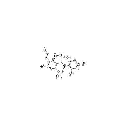 COc1cc(O)c(CC=O)c(OC)c1CC(=O)c1c(O)cc(O)cc1O